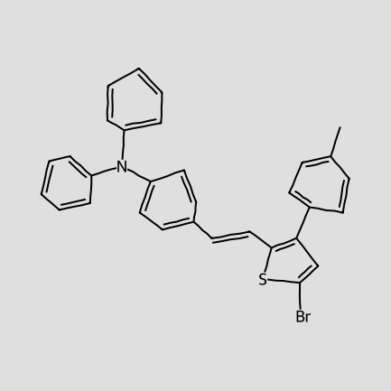 Cc1ccc(-c2cc(Br)sc2/C=C/c2ccc(N(c3ccccc3)c3ccccc3)cc2)cc1